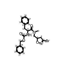 CN(CC1CC(Br)=NO1)C(=O)C(Cc1ccccc1)NC(=O)OCc1ccccc1